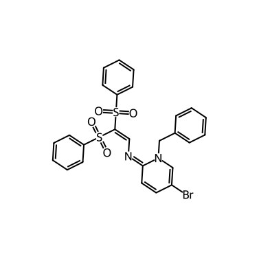 O=S(=O)(C(=CN=c1ccc(Br)cn1Cc1ccccc1)S(=O)(=O)c1ccccc1)c1ccccc1